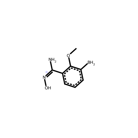 Bc1cccc(/C(N)=N\O)c1OC